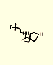 CCC1(C(=O)NCCC(F)(F)F)CCNCC1